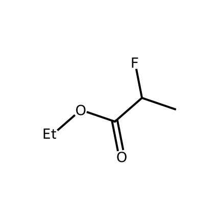 CCOC(=O)C(C)F